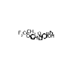 CCC[C@]1(O)CC[C@@]2(CCN(c3ccc(OC(C)C(F)(F)F)cc3)C2=O)CC1